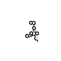 C=C/C=C\c1sc2cccc(N(c3ccc(-c4ccccc4)cc3)c3ccc(-c4cccc5ccccc45)cc3)c2c1CCCC